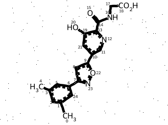 Cc1cc(C)cc(-c2cc(-c3cnc(C(=O)NCC(=O)O)c(O)c3)on2)c1